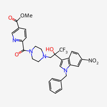 COC(=O)c1ccc(C(=O)N2CCN(CC(O)(c3cn(Cc4ccccc4)c4cc([N+](=O)[O-])ccc34)C(F)(F)F)CC2)nc1